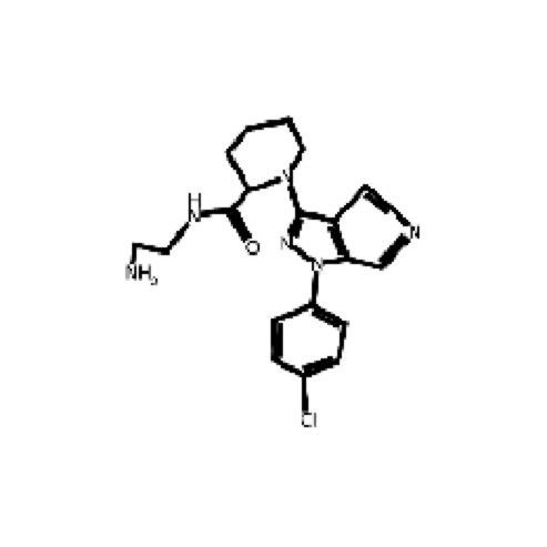 NCCNC(=O)C1CCCCN1c1nn(-c2ccc(Cl)cc2)c2cnccc12